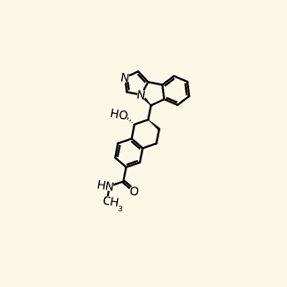 CNC(=O)c1ccc2c(c1)CC[C@H]([C@@H]1c3ccccc3-c3cncn31)[C@H]2O